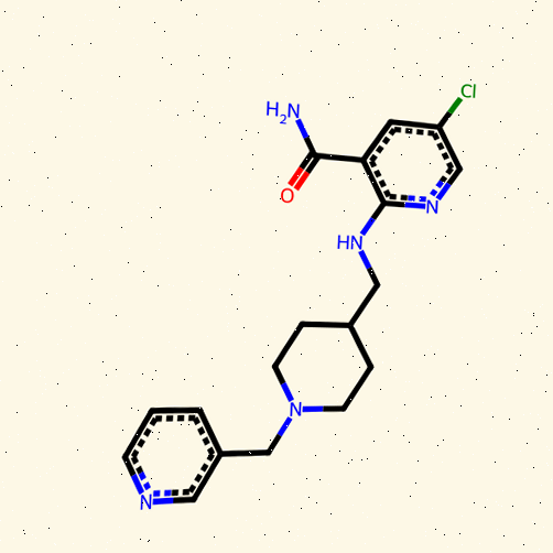 NC(=O)c1cc(Cl)cnc1NCC1CCN(Cc2cccnc2)CC1